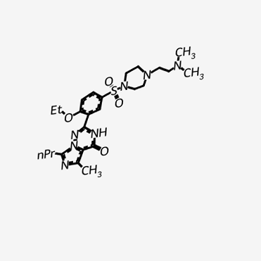 CCCc1nc(C)c2c(=O)[nH]c(-c3cc(S(=O)(=O)N4CCN(CCN(C)C)CC4)ccc3OCC)nn12